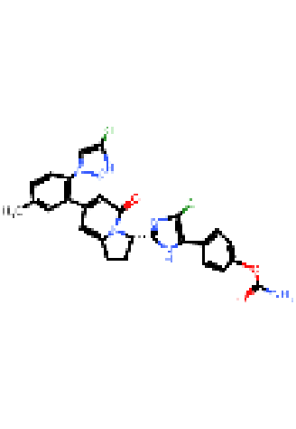 Cc1ccc(-n2cc(Cl)nn2)c(-c2cc3n(c(=O)c2)[C@H](c2nc(Cl)c(-c4ccc(OC(N)=O)cc4)[nH]2)CC3)c1